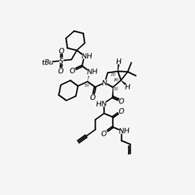 C#CCCC(NC(=O)[C@@H]1[C@@H]2[C@H](CN1C(=O)[C@@H](NC(=O)NC1(CS(=O)(=O)C(C)(C)C)CCCCC1)C1CCCCC1)C2(C)C)C(=O)C(=O)NCC=C